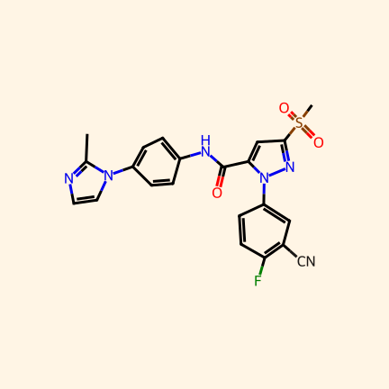 Cc1nccn1-c1ccc(NC(=O)c2cc(S(C)(=O)=O)nn2-c2ccc(F)c(C#N)c2)cc1